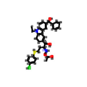 CCn1c2c(c3cc(C(=O)c4ccccc4)ccc31)C=C(C(=O)/C(CCSc1ccc(Cl)cc1)=N/OC(C)=O)CC2